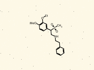 CCOc1cc(C(CNCCc2ccccc2)S(C)(=O)=O)ccc1OC